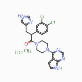 Cl.Cl.O=C(C(Cc1c[nH]cn1)c1ccc(Cl)c(Cl)c1)N1CCN(c2ncnc3[nH]ccc23)CC1